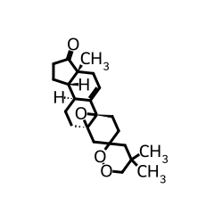 CC1(C)COOC2(CC[C@]34O[C@]3(CC[C@@H]3C4=CC[C@@]4(C)C(=O)CC[C@@H]34)C2)C1